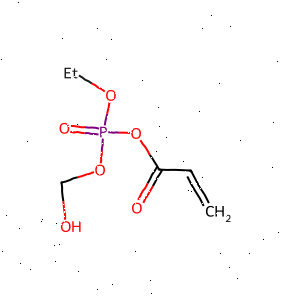 C=CC(=O)OP(=O)(OCC)OCO